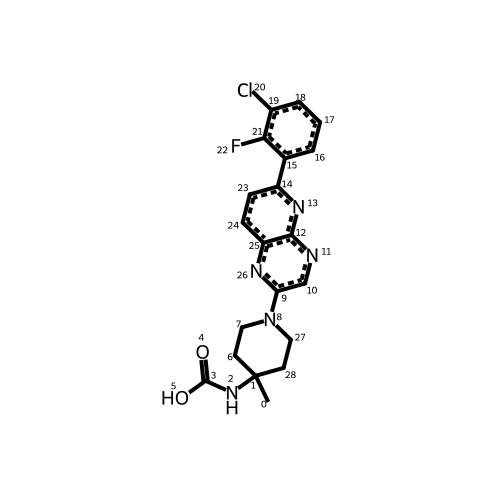 CC1(NC(=O)O)CCN(c2cnc3nc(-c4cccc(Cl)c4F)ccc3n2)CC1